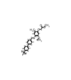 COC(=O)COc1cc(OC)c(SCc2ccc(-c3ccc(C(F)(F)F)cc3)cc2)cc1C